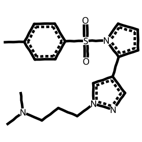 Cc1ccc(S(=O)(=O)n2cccc2-c2cnn(CCCN(C)C)c2)cc1